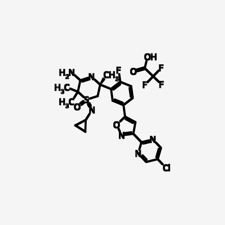 CC1(C)C(N)=N[C@](C)(c2cc(-c3cc(-c4ncc(Cl)cn4)no3)ccc2F)CS1(=O)=NC1CC1.O=C(O)C(F)(F)F